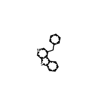 c1ccc(Cc2cncc3sc4ccccc4c23)cc1